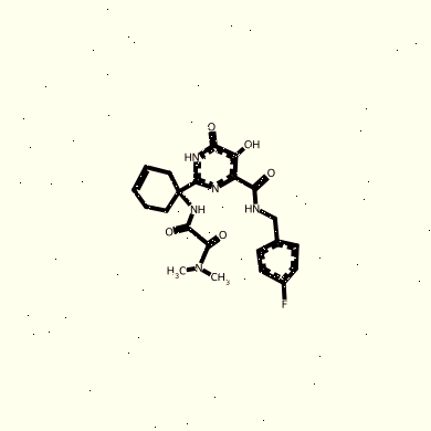 CN(C)C(=O)C(=O)NC1(c2nc(C(=O)NCc3ccc(F)cc3)c(O)c(=O)[nH]2)CC=CCC1